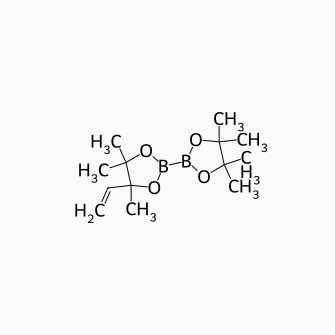 C=CC1(C)OB(B2OC(C)(C)C(C)(C)O2)OC1(C)C